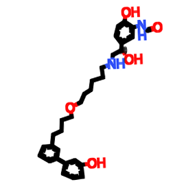 O=CNc1cc([C@@H](O)CNCCCCCCOCCCCc2cccc(-c3cccc(O)c3)c2)ccc1O